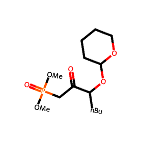 CCCCC(OC1CCCCO1)C(=O)CP(=O)(OC)OC